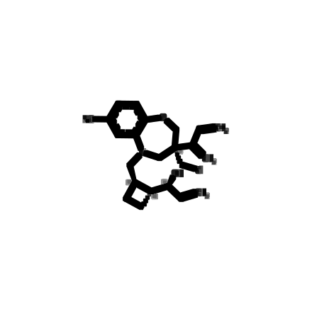 C=CC(=C)[C@]1(CCl)COc2ccc(C#N)cc2N(C[C@@H]2CC[C@H]2[C@@H](O)C=C)C1